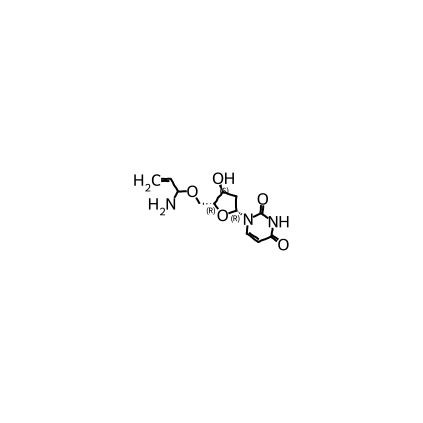 C=CC(N)OC[C@H]1O[C@@H](n2ccc(=O)[nH]c2=O)C[C@@H]1O